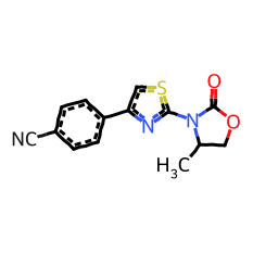 CC1COC(=O)N1c1nc(-c2ccc(C#N)cc2)cs1